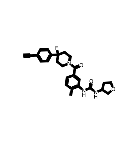 C#Cc1ccc(C2(F)CCN(C(=O)c3ccc(C)c(NC(=O)NC4CCOC4)c3)CC2)cc1